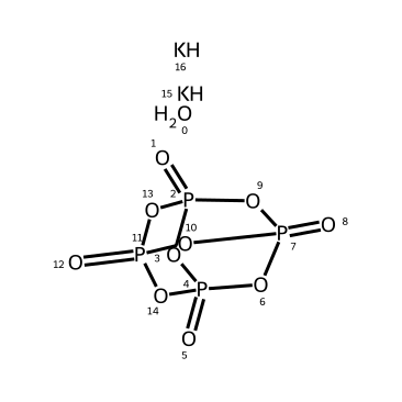 O.O=P12OP3(=O)OP(=O)(O1)OP(=O)(O2)O3.[KH].[KH]